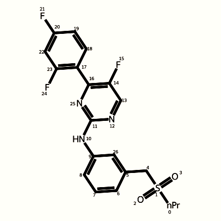 CCCS(=O)(=O)Cc1cccc(Nc2ncc(F)c(-c3ccc(F)cc3F)n2)c1